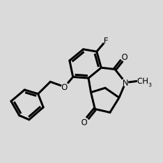 CN1C(=O)c2c(F)ccc(OCc3ccccc3)c2C2CC1CC2=O